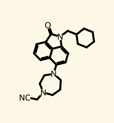 N#CCN1CCCN(c2ccc3c4c(cccc24)C(=O)N3CC2CCCCC2)CC1